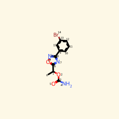 CC(OC(N)=O)c1nc(-c2cccc(Br)c2)no1